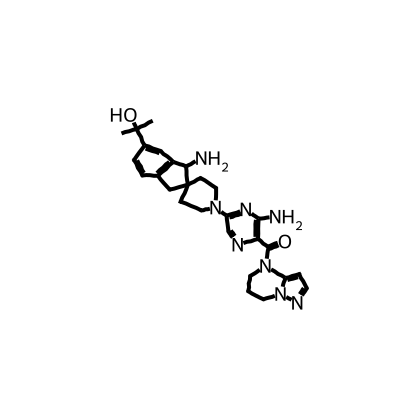 CC(C)(O)c1ccc2c(c1)C(N)C1(CCN(c3cnc(C(=O)N4CCCn5nccc54)c(N)n3)CC1)C2